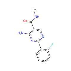 CCNC(=O)c1cnc(-c2ccccc2F)nc1N